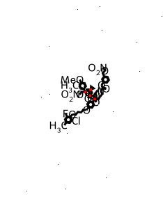 COc1ccc(CN(C(=O)C2=C(c3ccc(OCCCCOc4c(F)cc(C)cc4Cl)cc3)CC3CN(C(=O)Oc4cccc(CO[N+](=O)[O-])c4)CC2N3C(=O)Oc2cccc(CO[N+](=O)[O-])c2)C2CC2)cc1C